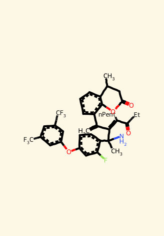 C=C(/C(=C(\CCCCC)C(=O)CC)C(C)(N)c1ccc(Oc2cc(C(F)(F)F)cc(C(F)(F)F)c2)cc1F)c1cccc2c1OC(=O)CC2C